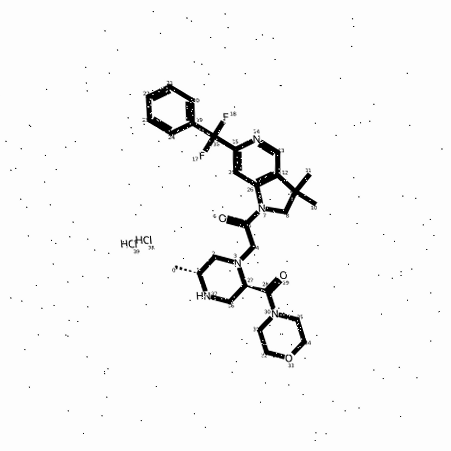 C[C@@H]1CN(CC(=O)N2CC(C)(C)c3cnc(C(F)(F)c4ccccc4)cc32)[C@@H](C(=O)N2CCOCC2)CN1.Cl.Cl